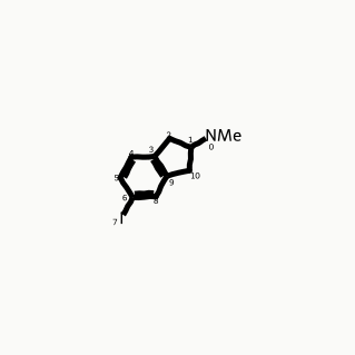 CNC1Cc2ccc(I)cc2C1